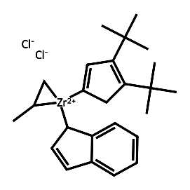 C[CH]1[CH2][Zr+2]1([C]1=CC(C(C)(C)C)=C(C(C)(C)C)C1)[CH]1C=Cc2ccccc21.[Cl-].[Cl-]